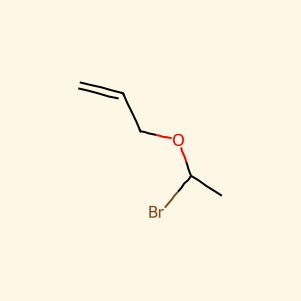 C=CCOC(C)Br